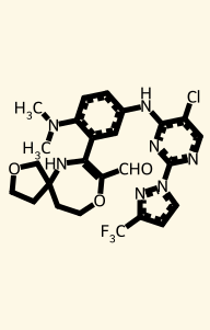 CN(C)c1ccc(Nc2nc(-n3ccc(C(F)(F)F)n3)ncc2Cl)cc1C1=C(C=O)OCCC2(CCOC2)N1